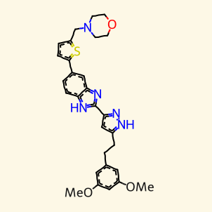 COc1cc(CCc2cc(-c3nc4cc(-c5ccc(CN6CCOCC6)s5)ccc4[nH]3)n[nH]2)cc(OC)c1